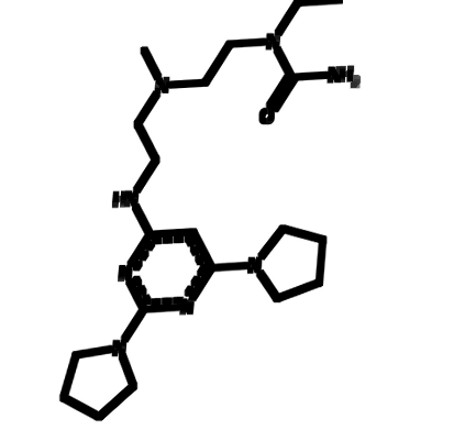 CCN(CCN(C)CCNc1cc(N2CCCC2)nc(N2CCCC2)n1)C(N)=O